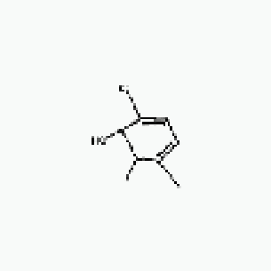 CCC1=CC=C(C)C(C)C1O